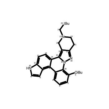 CC(C)COc1cccc2c3c4cc[nH]c4ccc3c3c4c(nn3c12)CCN(CC(C)(C)C)C4